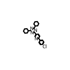 Clc1ccc(-c2ccc(-c3nc(C4CCCCC4)nc(C4CCCCC4)n3)cn2)cc1